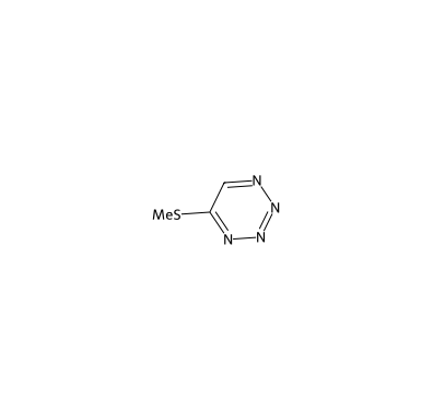 CSc1cnnnn1